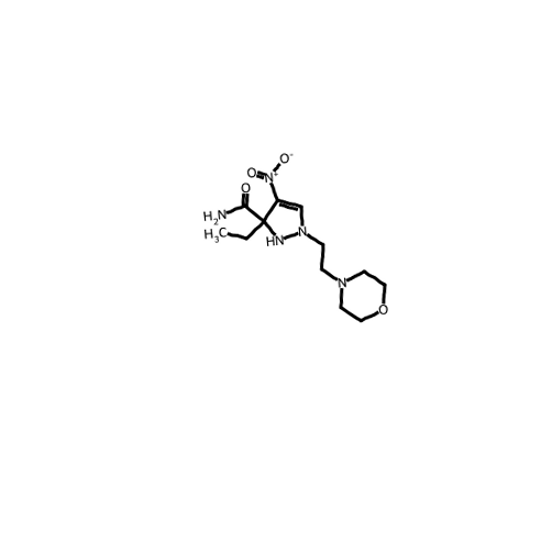 CCC1(C(N)=O)NN(CCN2CCOCC2)C=C1[N+](=O)[O-]